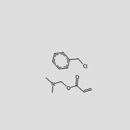 C=CC(=O)OCN(C)C.ClCc1ccccc1